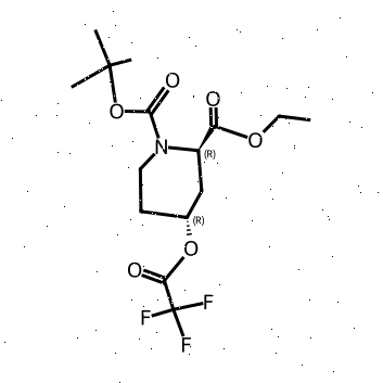 CCOC(=O)[C@H]1C[C@H](OC(=O)C(F)(F)F)CCN1C(=O)OC(C)(C)C